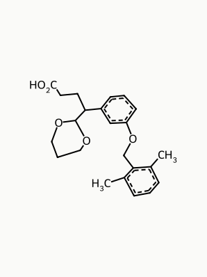 Cc1cccc(C)c1COc1cccc(C(CCC(=O)O)C2OCCCO2)c1